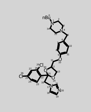 CCCCN1CCN(Cc2ccc(OCC3COC(Cn4ccnc4)(c4ccc(Cl)cc4Cl)O3)cc2)CC1